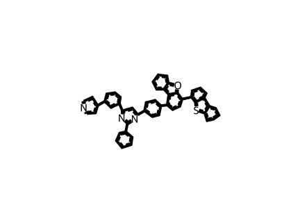 c1ccc(-c2nc(-c3ccc(-c4ccc(-c5cccc6c5sc5ccccc56)c5oc6ccccc6c45)cc3)cc(-c3cccc(-c4ccncc4)c3)n2)cc1